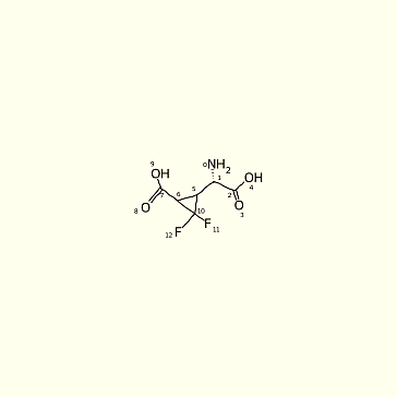 N[C@H](C(=O)O)C1C(C(=O)O)C1(F)F